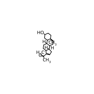 CC(=O)C1=CC[C@H]2[C@@H]3CC=C4CCC(O)C[C@]4(C)[C@H]3CC[C@]12C